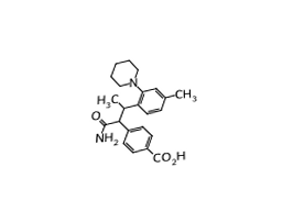 Cc1ccc(C(C)C(C(N)=O)c2ccc(C(=O)O)cc2)c(N2CCCCC2)c1